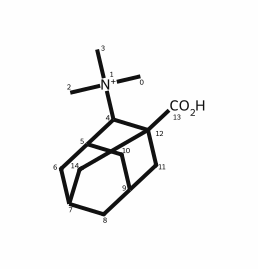 C[N+](C)(C)C1C2CC3CC(C2)CC1(C(=O)O)C3